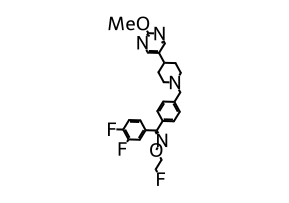 COc1ncc(C2CCN(Cc3ccc(C(=NOCCF)c4ccc(F)c(F)c4)cc3)CC2)cn1